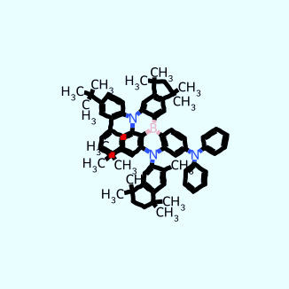 Cc1cc2c(cc1N1c3cc(N(c4ccccc4)c4ccccc4)ccc3B3c4cc5c(cc4N(c4ccc(C(C)(C)C)cc4-c4ccccc4)c4cc(C(C)(C)C)cc1c43)C(C)(C)CC5(C)C)C(C)(C)CCC2(C)C